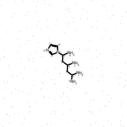 NC(N)CC(N)CC(N)n1ccnc1